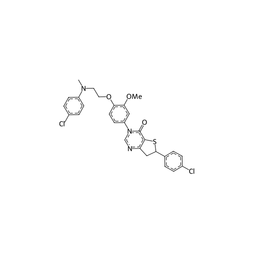 COc1cc(-n2cnc3c(c2=O)SC(c2ccc(Cl)cc2)C3)ccc1OCCN(C)c1ccc(Cl)cc1